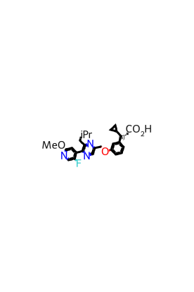 COc1cc(-c2ncc(COc3cccc([C@@H](CC(=O)O)C4CC4)c3)nc2CC(C)C)c(F)cn1